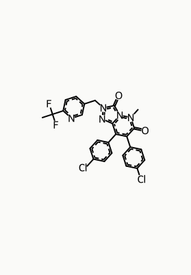 Cn1c(=O)c(-c2ccc(Cl)cc2)c(-c2ccc(Cl)cc2)c2nn(Cc3ccc(C(C)(F)F)nc3)c(=O)n21